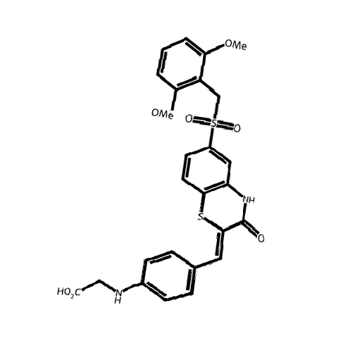 COc1cccc(OC)c1CS(=O)(=O)c1ccc2c(c1)NC(=O)C(=Cc1ccc(NCC(=O)O)cc1)S2